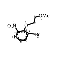 COCCOc1c(Br)ccnc1[N+](=O)[O-]